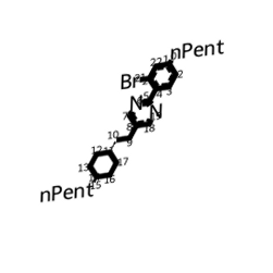 CCCCCc1ccc(-c2ncc(CC[C@H]3CC[C@H](CCCCC)CC3)cn2)c(Br)c1